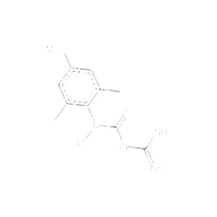 CCN(C(=O)NC(=N)N)c1c(C)cc(OC)cc1C